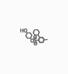 Cc1ccc(S(=O)(=O)OC2CCC(O)CC2)c(C2CCCCC2)c1